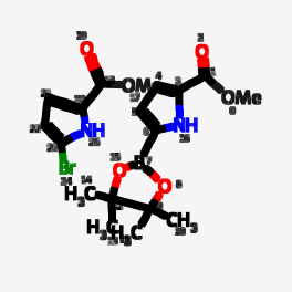 COC(=O)c1ccc(B2OC(C)(C)C(C)(C)O2)[nH]1.COC(=O)c1ccc(Br)[nH]1